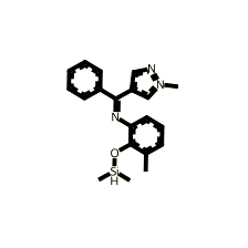 Cc1cccc(N=C(c2ccccc2)c2cnn(C)c2)c1O[SiH](C)C